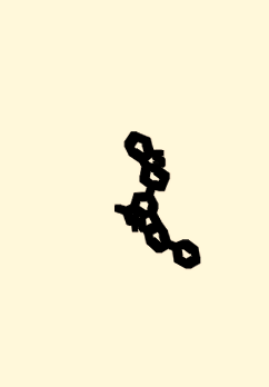 Cc1cn2c3ccc(-c4ccccc4)cc3c3cc(-c4ccc5sc6ccccc6c5c4)cc1c32